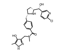 Cc1[nH]nc(CN(C)C(=O)c2ccc(C[C@@H]3CC[C@H]([C@H](O)c4ccc(Cl)nc4)N3)cc2)c1O